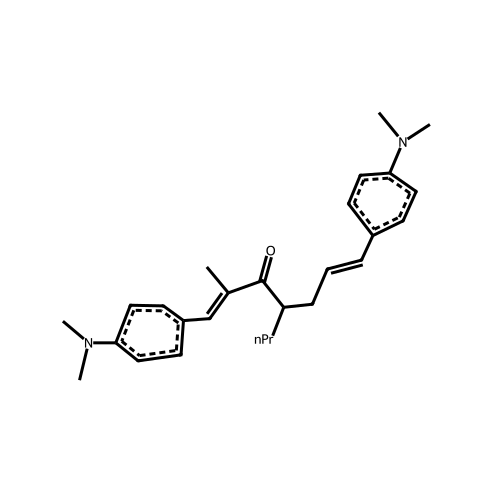 CCCC(CC=Cc1ccc(N(C)C)cc1)C(=O)C(C)=Cc1ccc(N(C)C)cc1